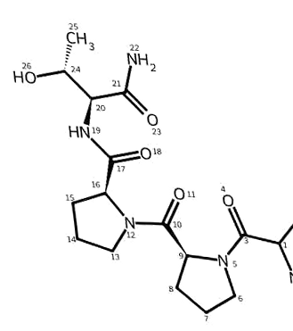 CCC(N)C(=O)N1CCC[C@H]1C(=O)N1CCC[C@H]1C(=O)N[C@H](C(N)=O)[C@@H](C)O